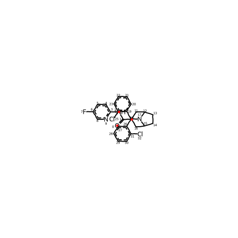 O=C(Nc1ccc(F)cn1)C1CC2CCC(C1)N2C(c1ccccc1Cl)c1ccccc1Cl